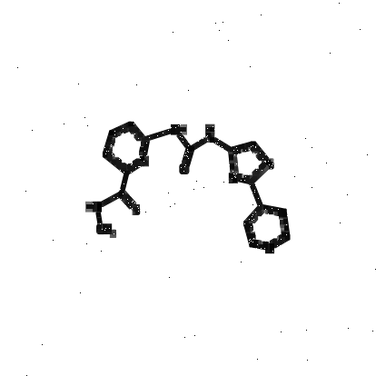 CNC(=S)c1cccc(NC(=O)Nc2csc(-c3ccncc3)n2)n1